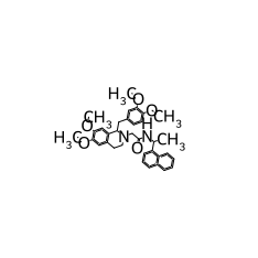 COc1ccc(CC2c3cc(OC)c(OC)cc3CCN2CC(=O)NC(C)c2cccc3ccccc23)cc1OC